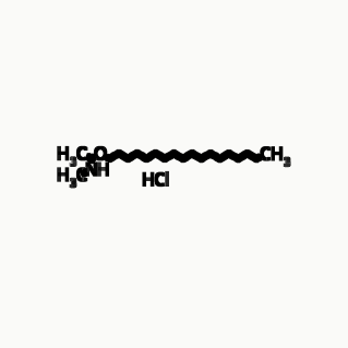 CCCCCCCCCCCCCCCCCCOC(C)NC.Cl